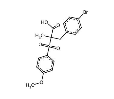 COc1ccc(S(=O)(=O)C(C)(Cc2ccc(Br)cc2)C(=O)O)cc1